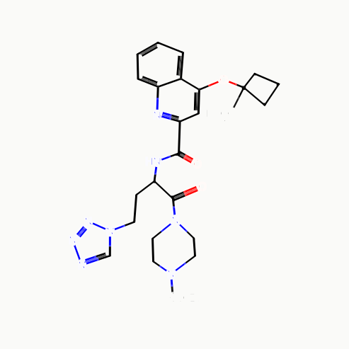 CCOC(=O)N1CCN(C(=O)C(CCn2cnnn2)NC(=O)c2cc(OC3(C(=O)O)CCC3)c3ccccc3n2)CC1